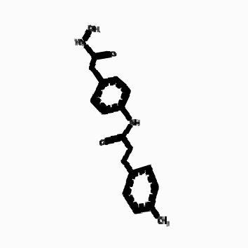 Cc1ccc(CCC(=O)Nc2ccc(CC(=O)NO)cc2)cc1